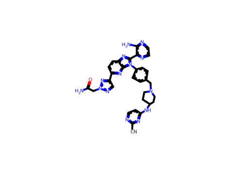 N#Cc1nccc(NC2CCN(Cc3ccc(-n4c(-c5nccnc5N)nc5ccc(-c6cnn(CC(N)=O)n6)nc54)cc3)CC2)n1